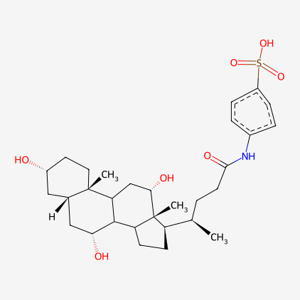 C[C@H](CCC(=O)Nc1ccc(S(=O)(=O)O)cc1)[C@H]1CCC2C3C(C[C@H](O)[C@@]21C)[C@@]1(C)CC[C@@H](O)C[C@H]1C[C@H]3O